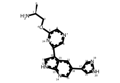 C[C@H](N)COc1cncc(-c2c[nH]c3ncc(-c4cn[nH]c4)cc23)n1